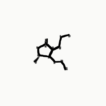 CCCC1NC[C@@H](C)C1CCC